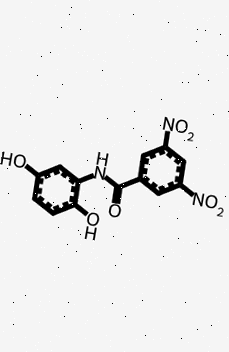 O=C(Nc1cc(O)ccc1O)c1cc([N+](=O)[O-])cc([N+](=O)[O-])c1